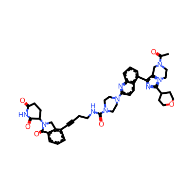 CC(=O)N1CCn2c(C3CCOCC3)nc(-c3cccc4nc(N5CCN(C(=O)NCCC#Cc6cccc7c6CN(C6CCC(=O)NC6=O)C7=O)CC5)ccc34)c2C1